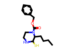 CCCCC1C(S)NCCN1C(=O)OCc1ccccc1